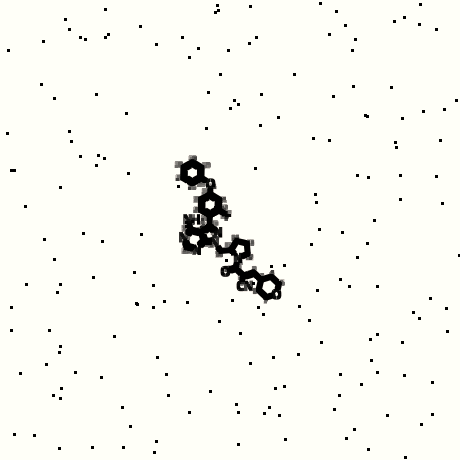 N#CC(=CC1CCOCC1)C(=O)N1CCCC1Cn1nc(-c2ccc(Oc3ccccc3)cc2F)c2c(N)ncnc21